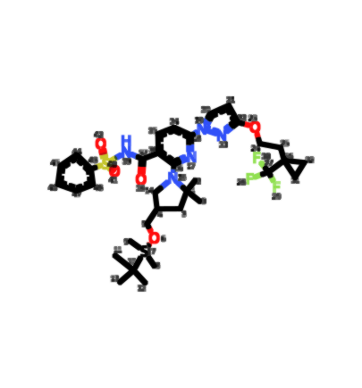 CC1(C)CC(CO[Si](C)(C)C(C)(C)C)CN1c1nc(-n2ccc(OCCC3(C(F)(F)F)CC3)n2)ccc1C(=O)NS(=O)(=O)c1ccccc1